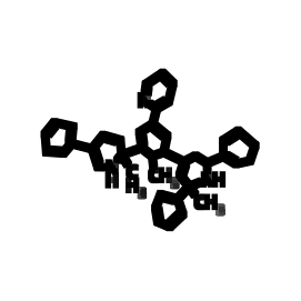 CC1C(C2(C)C=CC(c3ccccc3)=CN2)=CC(c2ccccn2)=CC1C1=CC(C)(c2ccccc2)NC(C2=CCCC=C2)C1